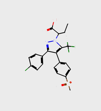 CCC(C(=O)O)n1nc(-c2ccc(F)cc2)c(-c2ccc(S(C)(=O)=O)cc2)c1C(F)(F)F